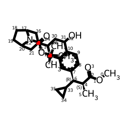 COC(=O)[C@@H](C)[C@H](c1ccc2c(c1)OC(C1CC3CCC(C1)N3C(=O)OC(C)(C)C)CC2O)C1CC1